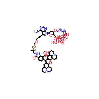 CC(C)(CNC(=O)c1ccc(C2=c3cc4c5c(c3Oc3c2cc2c6c3CCCN6CCC2)CCC[N+]=5CCC4)c(C(=O)O)c1)SSCOCC#Cc1cn([C@H]2CC(OCN=[N+]=[N-])[C@@H](COP(=O)(O)OP(=O)(O)OP(=O)(O)O)O2)c2ncnc(N)c12